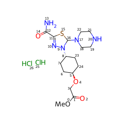 COC(=O)CO[C@H]1CC[C@H](N2N=C(C(N)=O)SC2N2CCNCC2)CC1.Cl.Cl